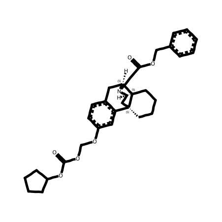 O=C(OCOc1ccc2c(c1)[C@]13CCCC[C@@H]1[C@H](C2)N(C(=O)OCc1ccccc1)CC3)OC1CCCC1